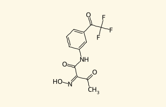 CC(=O)/C(=N/O)C(=O)Nc1cccc(C(=O)C(F)(F)F)c1